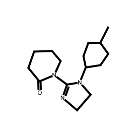 CC1CCC(N2CCN=C2N2CCCCC2=O)CC1